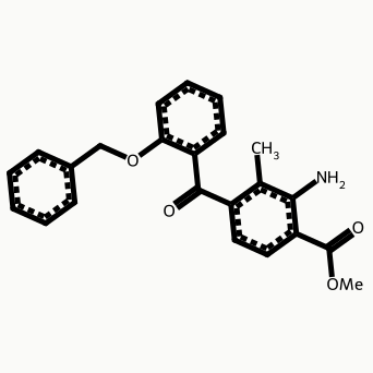 COC(=O)c1ccc(C(=O)c2ccccc2OCc2ccccc2)c(C)c1N